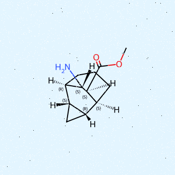 COC(=O)[C@@H]1[C@@H](N)[C@@H]2CCC[C@H]1[C@@H]1C[C@@H]12